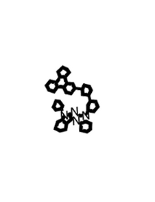 c1ccc(-n2c3ccccc3c3c2nc2n(-c4cccc(-c5cccc(-c6ccc7c8ccccc8c8ccccc8c7c6)c5)c4)c4ccccc4n32)cc1